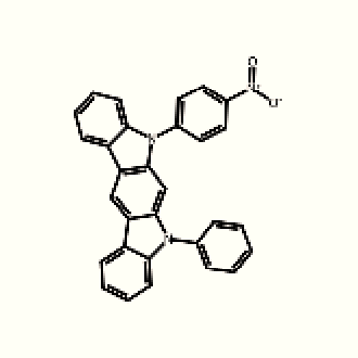 O=[N+]([O-])c1ccc(-n2c3ccccc3c3cc4c5ccccc5n(-c5ccccc5)c4cc32)cc1